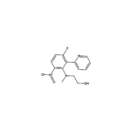 CN(CCO)c1c([N+](=O)[O-])ccc(F)c1-c1ccccn1